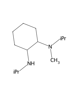 CC(C)NC1CCCCC1N(C)C(C)C